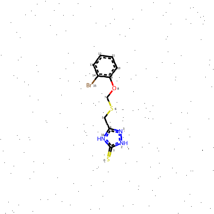 S=c1[nH]nc(CSCOc2ccccc2Br)[nH]1